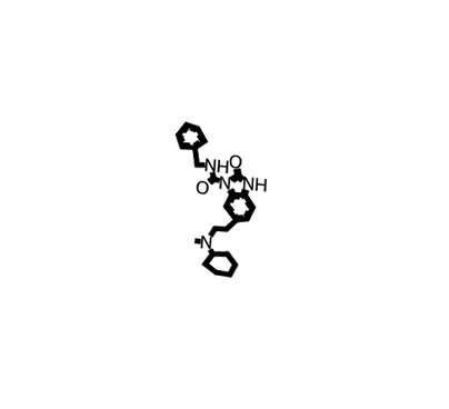 CN(CCc1ccc2[nH]c(=O)n(C(=O)NCc3ccccc3)c2c1)C1CCCCC1